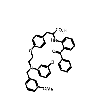 COc1cccc(CN(CCOc2ccc(CC(Nc3ccccc3C(=O)c3ccccc3)C(=O)O)cc2)c2cccc(Cl)c2)c1